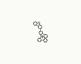 c1ccc(-c2ccccc2-n2c3ccccc3c3cc(-c4ccc5sc6ccccc6c5c4)ccc32)cc1